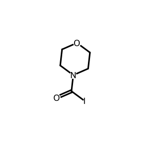 O=C(I)N1CCOCC1